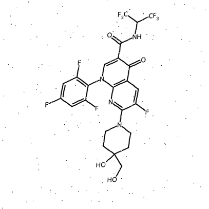 O=C(NC(C(F)(F)F)C(F)(F)F)c1cn(-c2c(F)cc(F)cc2F)c2nc(N3CCC(O)(CO)CC3)c(F)cc2c1=O